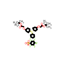 CC(C)(C)OC(=O)COc1ccc([S+](c2ccccc2)c2ccc(OCC(=O)OC(C)(C)C)cc2)cc1.O=S(=O)([O-])c1c(F)c(F)c(F)c(F)c1F